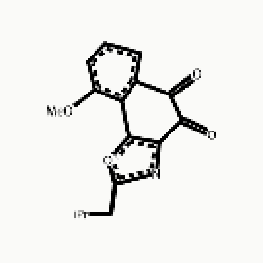 COc1cccc2c1-c1oc(CC(C)C)nc1C(=O)C2=O